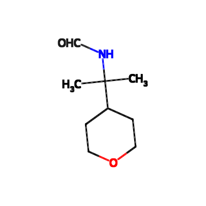 CC(C)(NC=O)C1CCOCC1